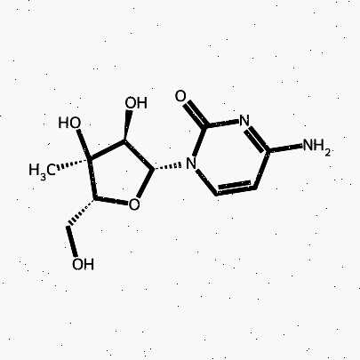 C[C@@]1(O)[C@@H](CO)O[C@@H](n2ccc(N)nc2=O)[C@@H]1O